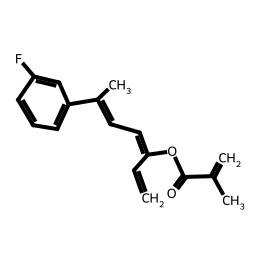 C=C/C(=C\C=C(/C)c1cccc(F)c1)OC(=O)C(=C)C